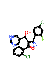 OC(c1cncnc1)c1c(-c2ccc(Cl)cc2F)noc1-c1ccccc1Cl